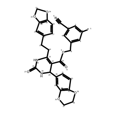 N#Cc1cc(F)cc(COC(=O)C2=C(CCc3ccc4c(c3)OCO4)NC(=O)NC2c2ccc3c(c2)OCCO3)c1